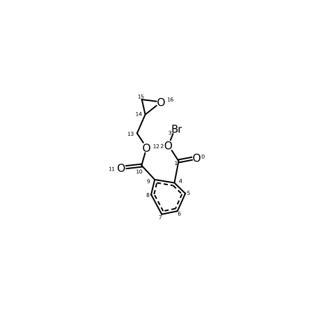 O=C(OBr)c1ccccc1C(=O)OCC1CO1